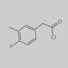 Cc1cc(CC(=O)Cl)ccc1F